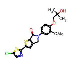 COc1cc(N2Cc3cc(-c4ncc(Cl)s4)sc3C2=O)ccc1OCC(C)(C)O